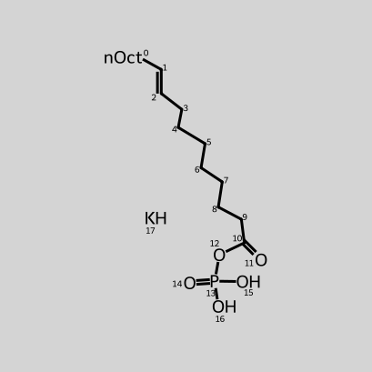 CCCCCCCCC=CCCCCCCCC(=O)OP(=O)(O)O.[KH]